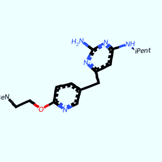 CCC[C@@H](C)Nc1cc(Cc2ccc(OCCNC)nc2)nc(N)n1